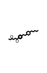 CCCCCC1CCC(CCc2ccc(C(=O)CCC(=O)CC)cc2)CC1